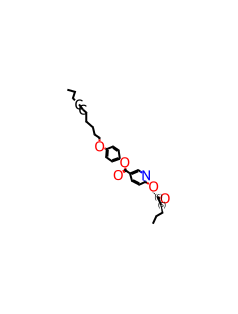 CCCCCCCCCCOc1ccc(OC(=O)c2ccc(OC[C@@H]3O[C@H]3CCC)nc2)cc1